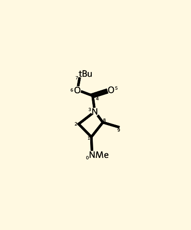 CNC1CN(C(=O)OC(C)(C)C)C1C